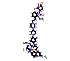 CCc1cc(Nc2ncc(Br)c(Nc3ccc4nc(C)ccc4c3P3(=O)CCCC3)n2)c(OC)cc1N1CCC(N2CCN(CCc3cccc4c3n(C)c(=O)n4C3CCC(=O)NC3=O)CC2)CC1